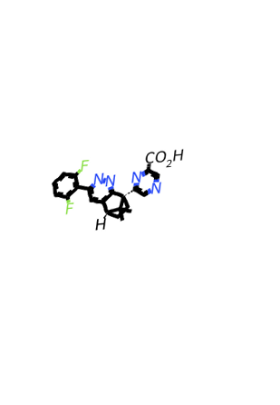 CC1(C)[C@H]2CC[C@]1(c1cncc(C(=O)O)n1)c1nnc(-c3c(F)cccc3F)cc12